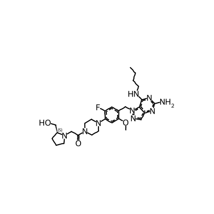 CCCCNc1nc(N)nc2cnn(Cc3cc(F)c(N4CCN(C(=O)CN5CCC[C@H]5CO)CC4)cc3OC)c12